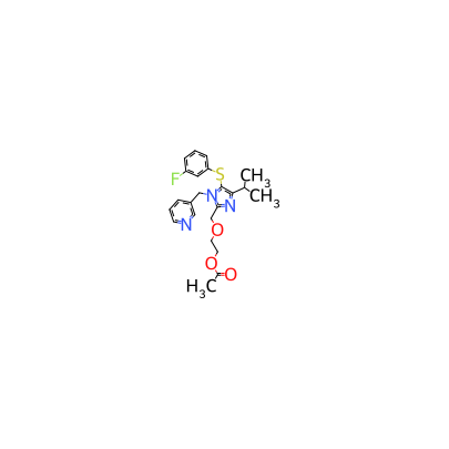 CC(=O)OCCOCc1nc(C(C)C)c(Sc2cccc(F)c2)n1Cc1cccnc1